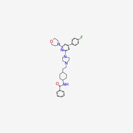 O=C(NC1CCC(CCN2CCN(c3cc(-c4ccc(F)cc4)cc(N4CCOCC4)n3)CC2)CC1)c1ccccc1